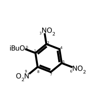 [CH2]C(C)COc1c([N+](=O)[O-])cc([N+](=O)[O-])cc1[N+](=O)[O-]